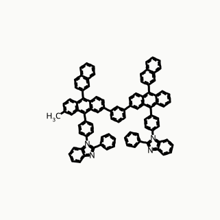 Cc1ccc2c(-c3ccc4ccccc4c3)c3ccc(-c4cccc(-c5ccc6c(-c7ccc8ccccc8c7)c7ccccc7c(-c7ccc(-n8c(-c9ccccc9)nc9ccccc98)cc7)c6c5)c4)cc3c(-c3ccc(-n4c(-c5ccccc5)nc5ccccc54)cc3)c2c1